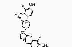 Cc1ccc(CN2CC[C@H](N3CC[C@@H](C4C=CC(O)=C(F)C4C)[C@H](F)C3)C2=O)cc1F